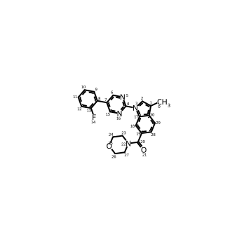 Cc1cn(-c2ncc(-c3ccccc3F)cn2)c2cc(C(=O)N3CCOCC3)ccc12